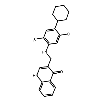 O=c1c(CNc2cc(O)c(C3CCCCC3)cc2C(F)(F)F)c[nH]c2ccccc12